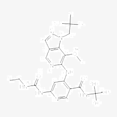 [2H]C([2H])([2H])NC(=O)c1cnc(NC(=O)NCC)cc1Nc1ncc2cnn(CC(C)(F)F)c2c1OC